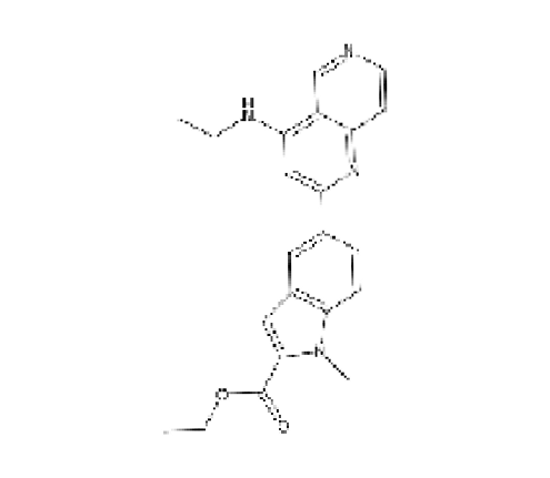 CCNc1cc(-c2ccc3c(c2)cc(C(=O)OCC)n3C)nc2ccncc12